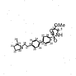 COC(=O)[C@H](C)NS(=O)(=O)c1ccc(-c2ccc(CCN3CCC[C@H]3C)cc2)cc1